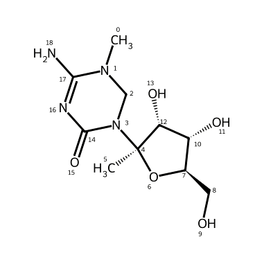 CN1CN([C@]2(C)O[C@H](CO)[C@@H](O)[C@H]2O)C(=O)N=C1N